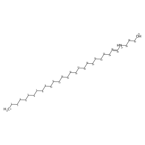 CCCCCCCCCCCCCCCCCCCCCCCCCC=CNCCCO